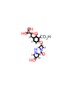 O=C(O)c1c(OC2CN(C(=O)[C@@H]3C[C@H](O)CN3)C2)ccc(CCB(O)O)c1O